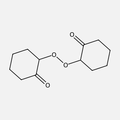 O=C1CCCCC1OOC1CCCCC1=O